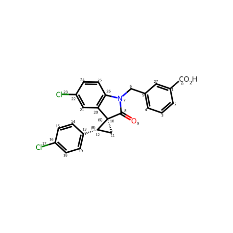 O=C(O)c1cccc(CN2C(=O)[C@]3(C[C@@H]3c3ccc(Cl)cc3)c3cc(Cl)ccc32)c1